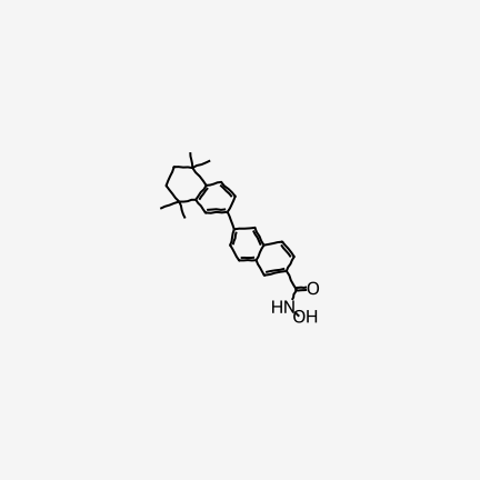 CC1(C)CCC(C)(C)c2cc(-c3ccc4cc(C(=O)NO)ccc4c3)ccc21